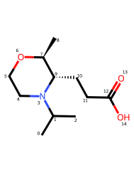 CC(C)N1CCO[C@@H](C)[C@@H]1CCC(=O)O